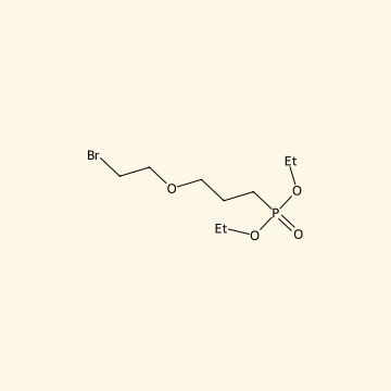 CCOP(=O)(CCCOCCBr)OCC